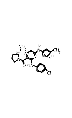 Cc1cc(Nc2cnc(C(=O)N3CCC[C@@H]3CN)c(Nc3ccc(Cl)cc3)n2)n[nH]1